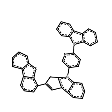 C1=C(c2cccc3c2sc2ccccc23)Cc2c1c1ccccc1n2-c1ccc(-n2c3ccccc3c3ccccc32)nc1